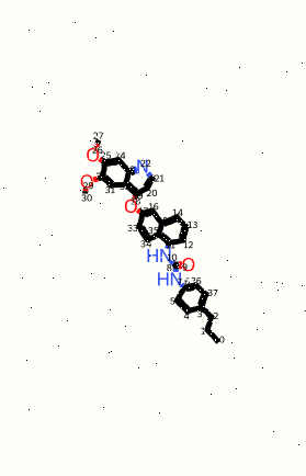 CCCc1ccc(NC(=O)Nc2cccc3cc(Oc4ccnc5cc(OC)c(OC)cc45)ccc23)cc1